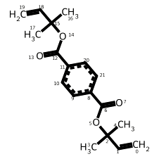 C=CC(C)(C)OC(=O)c1ccc(C(=O)OC(C)(C)C=C)cc1